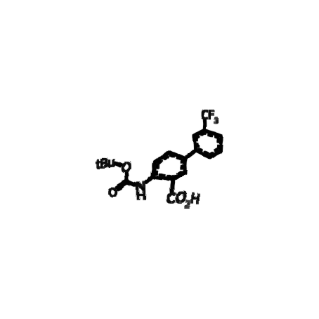 CC(C)(C)OC(=O)Nc1ccc(-c2cccc(C(F)(F)F)c2)cc1C(=O)O